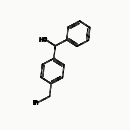 CC(C)Cc1ccc(C(O)c2ccccc2)cc1